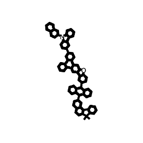 CC1(C)c2ccccc2-c2c1ccc1ccc(-c3c4ccccc4c(-c4ccc5oc6cc7c8ccc(-c9ccc%10c(c9)c9ccccc9n%10-c9ccc%10ccccc%10c9)cc8c8ccccc8c7cc6c5c4)c4ccccc34)cc21